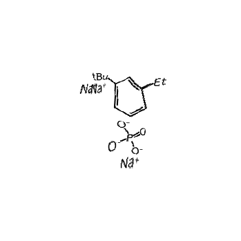 CCc1cccc(C(C)(C)C)c1.O=P([O-])([O-])[O-].[Na+].[Na+].[Na+]